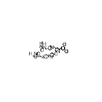 CNC(=O)NCC1CCN(Cc2cc(Oc3ccc(N4CCN(CCCS(N)(=O)=O)CC4)nc3)nc(-c3cc(Cl)cc(Cl)c3)c2)CC1